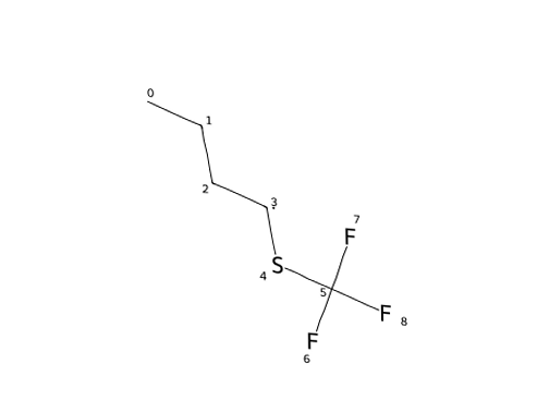 CCC[CH]SC(F)(F)F